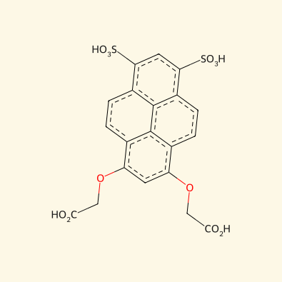 O=C(O)COc1cc(OCC(=O)O)c2ccc3c(S(=O)(=O)O)cc(S(=O)(=O)O)c4ccc1c2c43